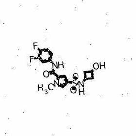 Cn1cc(S(=O)(=O)NC2CC(O)C2)cc1C(=O)Nc1ccc(F)c(F)c1